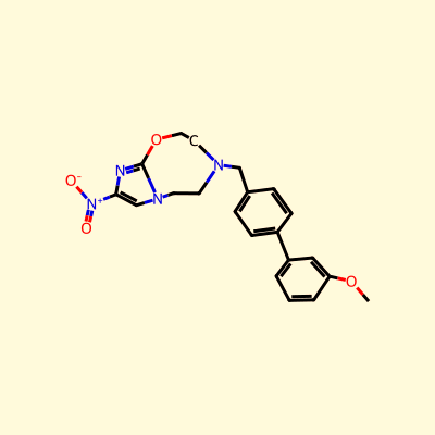 COc1cccc(-c2ccc(CN3CCOc4nc([N+](=O)[O-])cn4CC3)cc2)c1